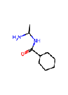 CC(N)NC(=O)C1CCCCC1